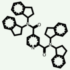 O=C(c1ccnc(C(=O)N(C2CCc3ccccc32)C2CCc3ccccc32)c1)N(C1CCc2ccccc21)C1CCc2ccccc21